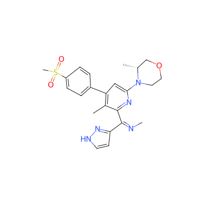 C/N=C(/c1cc[nH]n1)c1nc(N2CCOC[C@H]2C)cc(-c2ccc(S(C)(=O)=O)cc2)c1C